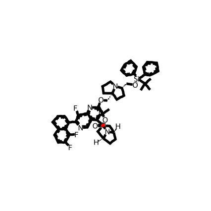 CC(C)(C)OC(=O)N1[C@@H]2CC[C@H]1CN(c1nc(OC[C@]34CCCN3[C@H](CO[Si](c3ccccc3)(c3ccccc3)C(C)(C)C)CC4)nc3c(F)c(-c4cccc5ccc(F)c(F)c45)ncc13)C2